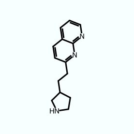 c1cnc2nc(CCC3CCNC3)ccc2c1